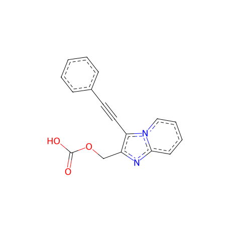 O=C(O)OCc1nc2ccccn2c1C#Cc1ccccc1